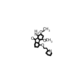 CCOc1cc(OC)c2c(c1N)C(=O)c1cccc(OCCc3ccccn3)c1-2